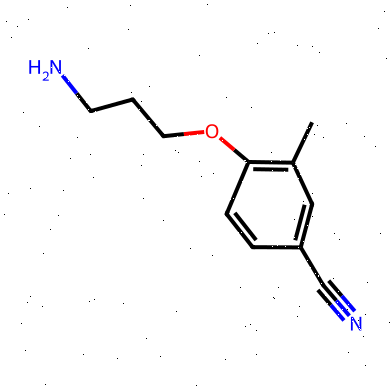 Cc1cc(C#N)ccc1OCCCN